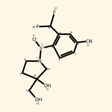 N#Cc1ccc([S+]([O-])N2CCC(O)(CO)C2)c(C(F)F)c1